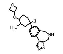 CC1CC(Cl)(c2ccc3c(c2)CNCc2nncn2-3)CCC1OC1COC1